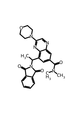 CC(c1cc(C(=O)N(C)C)cc2ncc(N3CCOCC3)nc12)N1C(=O)c2ccccc2C1=O